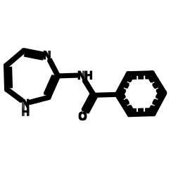 O=C(NC1=CNC=CC=N1)c1ccccc1